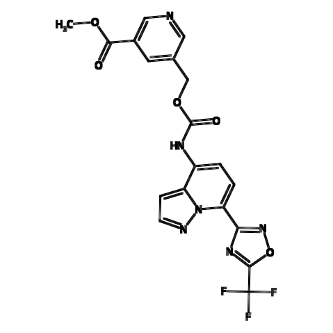 COC(=O)c1cncc(COC(=O)Nc2ccc(-c3noc(C(F)(F)F)n3)n3nccc23)c1